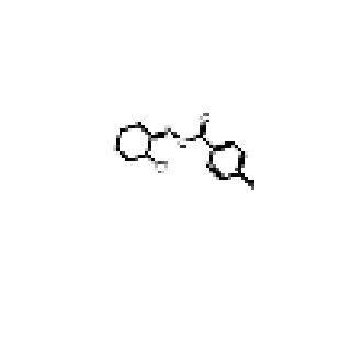 O=C(ON=C1CCCCC1Cl)c1ccc(I)cc1